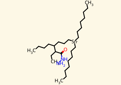 CCCCCCC[CH2][Sn]([CH2]CCCCCCC)[CH2]CCC(CCCC)C(CC)C(=O)NN